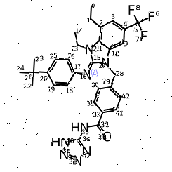 CCc1cc(C(F)(F)F)cc2c1n(CC)/c(=N\c1ccc(C(C)(C)C)cc1)n2Cc1ccc(C(=O)Nc2nnn[nH]2)cc1